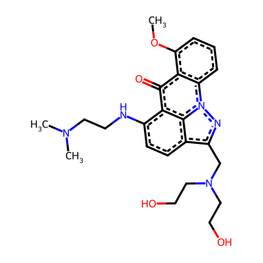 COc1cccc2c1c(=O)c1c(NCCN(C)C)ccc3c(CN(CCO)CCO)nn2c31